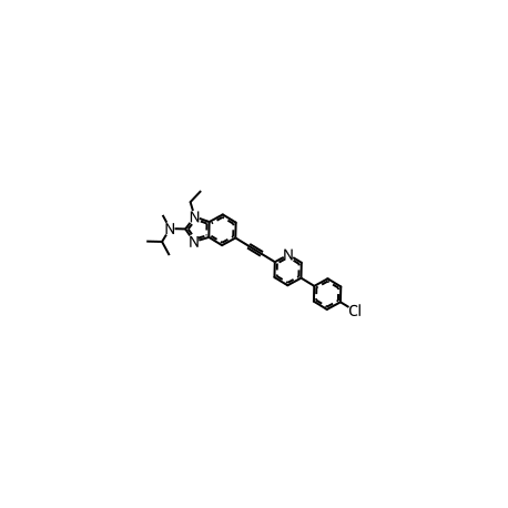 CCn1c(N(C)C(C)C)nc2cc(C#Cc3ccc(-c4ccc(Cl)cc4)cn3)ccc21